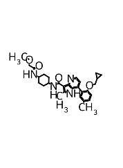 COCC(=O)NC1CCC(NC(=O)c2c(C)[nH]c3c(-c4cc(C)ccc4OCC4CC4)ccnc23)CC1